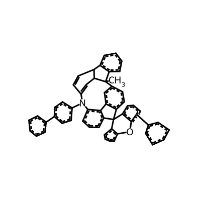 CC12c3ccc4c(c3)-c3c(cccc3C43c4ccccc4Oc4c(-c5ccccc5)cccc43)N(c3ccc(-c4ccccc4)cc3)C3=CC1C(C=C3)c1ccccc12